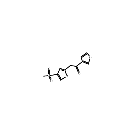 CS(=O)(=O)c1coc(CC(=O)c2ccoc2)c1